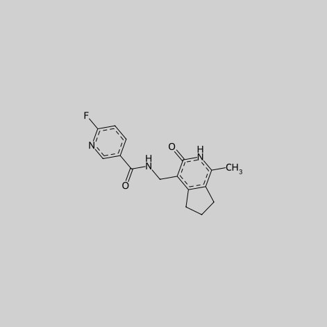 Cc1[nH]c(=O)c(CNC(=O)c2ccc(F)nc2)c2c1CCC2